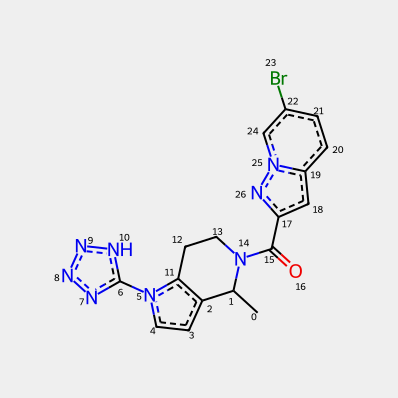 CC1c2ccn(-c3nnn[nH]3)c2CCN1C(=O)c1cc2ccc(Br)cn2n1